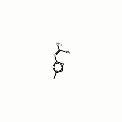 [CH2]c1cnc(N=C(N)N)s1